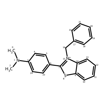 CN(C)c1ccc(-c2sc3ccccc3[n+]2Cc2ccccc2)cc1